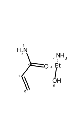 C=CC(N)=O.CCO.N